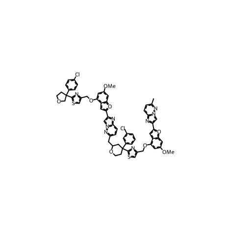 COc1cc(OCc2csc(C3(c4cccc(Cl)c4)CCOC(Cc4ccc5nc(-c6cc7c(OCc8csc(C9(c%10ccc(Cl)cc%10)CCOC9)n8)cc(OC)cc7o6)cn5n4)C3)n2)c2cc(-c3cn4nc(C)ccc4n3)oc2c1